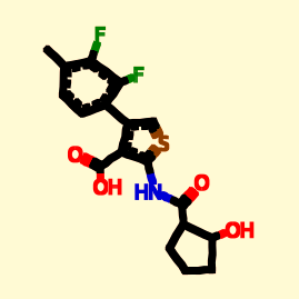 Cc1ccc(-c2csc(NC(=O)C3CCCC3O)c2C(=O)O)c(F)c1F